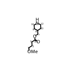 COCCCC(=O)OCC1CCNCC1